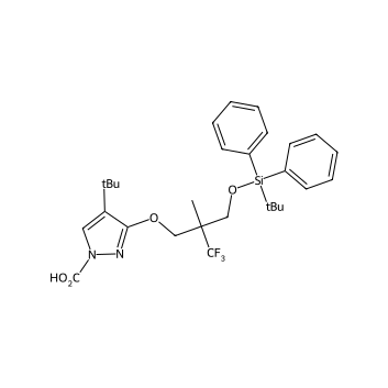 CC(C)(C)c1cn(C(=O)O)nc1OCC(C)(CO[Si](c1ccccc1)(c1ccccc1)C(C)(C)C)C(F)(F)F